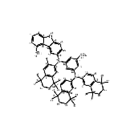 Cc1cc2c(cc1N(c1cc(N(c3ccc4c(c3)C(C)(C)CCC4(C)C)c3ccc4c(c3)C(C)(C)CCC4(C)C)cc(C(C)(C)C)c1)c1ccc3oc4cccc(C(C)(C)C)c4c3c1)C(C)(C)CCC2(C)C